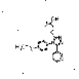 CCOc1ccc(-n2c(SCC(=O)O)nnc2-c2cccnc2)cc1